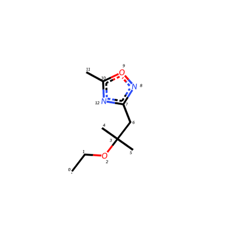 [CH2]COC(C)(C)Cc1noc(C)n1